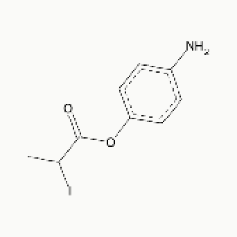 CC(I)C(=O)Oc1ccc(N)cc1